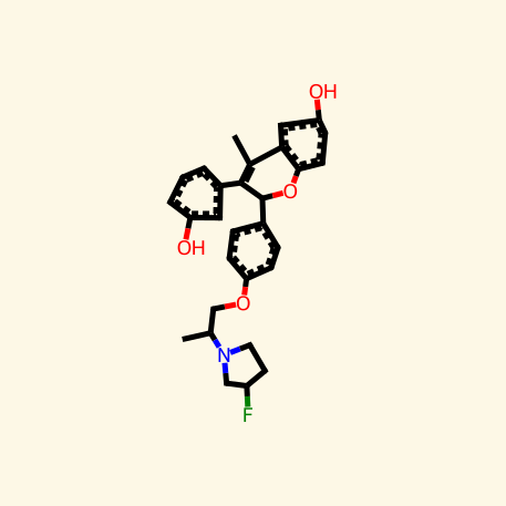 CC1=C(c2cccc(O)c2)C(c2ccc(OCC(C)N3CCC(F)C3)cc2)Oc2ccc(O)cc21